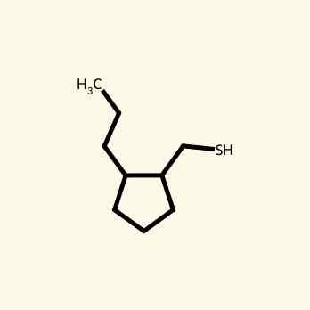 CCCC1CCCC1CS